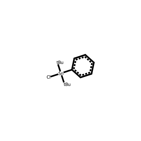 C[C](C)(C)[Sn]([Cl])([c]1ccccc1)[C](C)(C)C